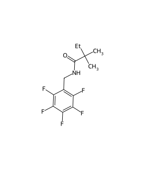 CCC(C)(C)C(=O)NCc1c(F)c(F)c(F)c(F)c1F